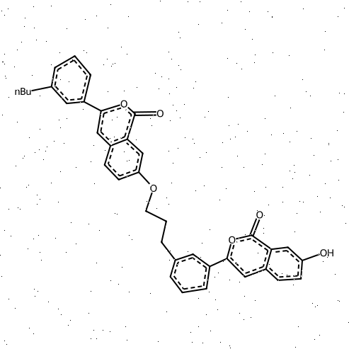 CCCCc1cccc(-c2cc3ccc(OCCCc4cccc(-c5cc6ccc(O)cc6c(=O)o5)c4)cc3c(=O)o2)c1